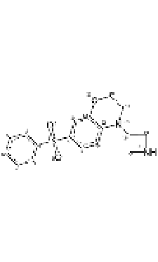 O=S(=O)(c1ccccc1)c1ccc2c(c1)OCCN2C1CNC1